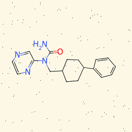 NC(=O)N(CC1CCC(c2ccccc2)CC1)c1cnccn1